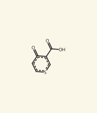 O=C(O)c1csccc1=O